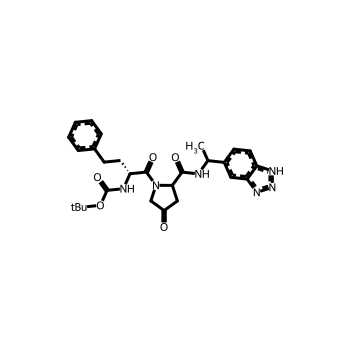 CC(NC(=O)C1CC(=O)CN1C(=O)[C@@H](CCc1ccccc1)NC(=O)OC(C)(C)C)c1ccc2[nH]nnc2c1